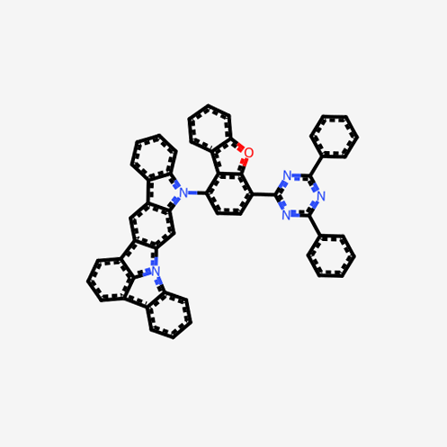 c1ccc(-c2nc(-c3ccccc3)nc(-c3ccc(-n4c5ccccc5c5cc6c7cccc8c9ccccc9n(c6cc54)c87)c4c3oc3ccccc34)n2)cc1